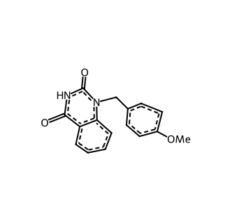 COc1ccc(Cn2c(=O)[nH]c(=O)c3ccccc32)cc1